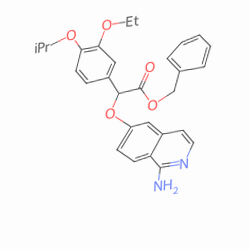 CCOc1cc(C(Oc2ccc3c(N)nccc3c2)C(=O)OCc2ccccc2)ccc1OC(C)C